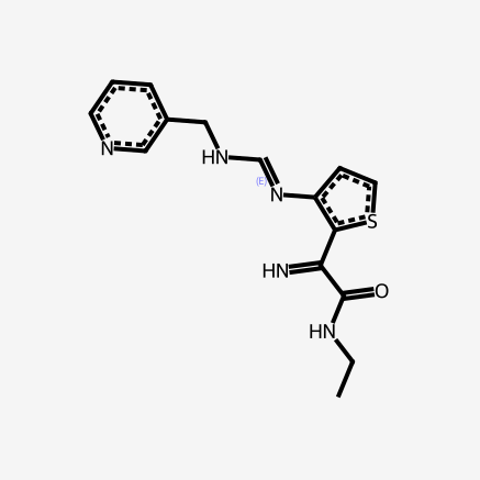 CCNC(=O)C(=N)c1sccc1/N=C/NCc1cccnc1